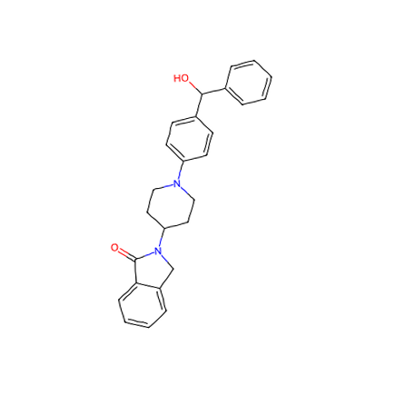 O=C1c2ccccc2CN1C1CCN(c2ccc(C(O)c3ccccc3)cc2)CC1